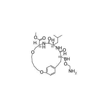 COC(=O)[C@@H]1COCCCCOc2ccc(cc2)C[C@H](BOCN)C(=O)N[C@@H](CC(C)C)C(=O)N1